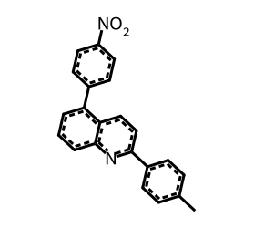 Cc1ccc(-c2ccc3c(-c4ccc([N+](=O)[O-])cc4)cccc3n2)cc1